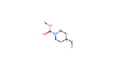 [CH2]CC1CCN(C(=O)OC)CC1